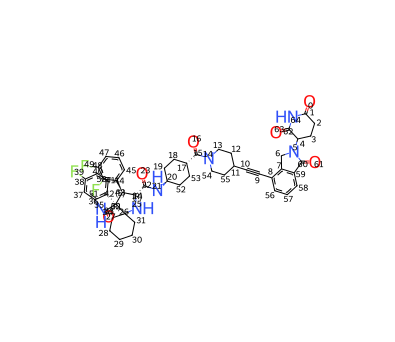 O=C1CCC(N2Cc3c(C#CC4CCN(C(=O)[C@H]5CC[C@H](NC(=O)[C@@H]6NC7(CCCCC7)[C@@]7(C(=O)Nc8cc(F)ccc87)[C@H]6c6cccc(F)c6F)CC5)CC4)cccc3C2=O)C(=O)N1